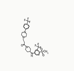 CS(=O)(=O)c1ccc(NC2CCN(C(=O)CCN3CCN(c4ccc(C(F)(F)F)cc4)CC3)CC2)cc1C(F)(F)F